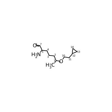 CC(CCCC(N)C=O)OCCC1CC1